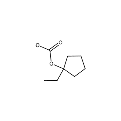 CCC1(OC([O])=O)CCCC1